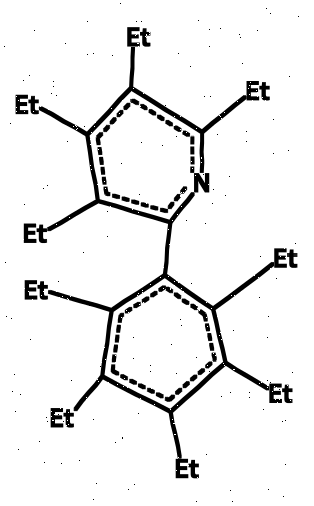 CCc1nc(-c2c(CC)c(CC)c(CC)c(CC)c2CC)c(CC)c(CC)c1CC